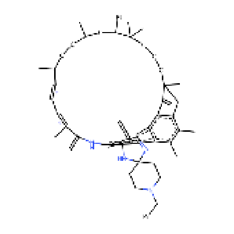 C=C1Nc2c3c(c4c5c(c(C)c(C)c4c2=C)CC(C)(CCCC(C)(C)C(CC)CC(C)CCC(C)/C=C/C=C\1C)C5=C)=NC1(CCN(CC(C)C)CC1)N3